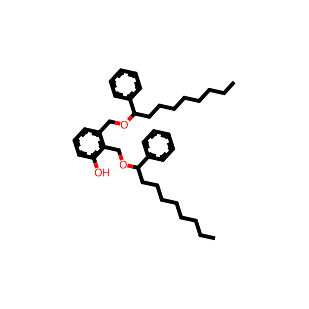 CCCCCCCCC(OCc1cccc(O)c1COC(CCCCCCCC)c1ccccc1)c1ccccc1